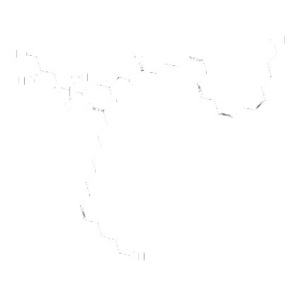 CCCCC/C=C\C/C=C\C/C=C\C/C=C\CCCC(=O)OC[C@H](COP(=O)(O)OC[C@@H](O)CO)OC(=O)CCCCCCC/C=C\CCCCC